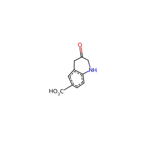 O=C1CNc2ccc(C(=O)O)cc2C1